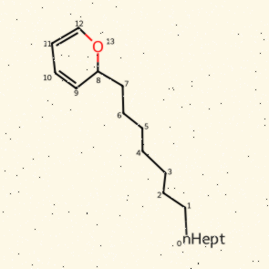 CCCCCCCCCCCCCCC1C=CC=CO1